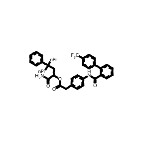 CCCC(CCC)(CC(OC(=O)Cc1ccc(NC(=O)c2ccccc2-c2ccc(C(F)(F)F)cc2)cc1)C(N)=O)c1ccccc1